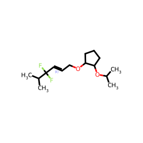 CC(C)OC1CCCC1OC/C=C/C(F)(F)C(C)C